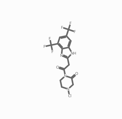 O=C(Cc1nc2c(C(F)(F)F)cc(C(F)(F)F)cc2[nH]1)N1CCN(Cl)CC1=O